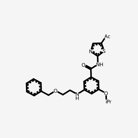 CC(=O)c1cnc(NC(=O)c2cc(NCCOCc3ccccc3)cc(OC(C)C)c2)s1